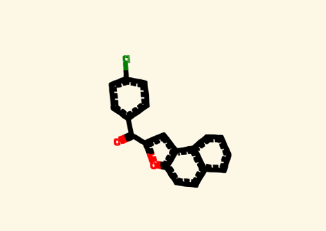 O=C(c1ccc(Cl)cc1)c1cc2c(ccc3ccccc32)o1